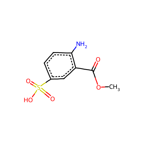 COC(=O)c1cc(S(=O)(=O)O)ccc1N